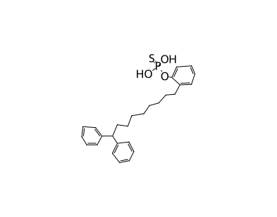 OP(O)(=S)Oc1ccccc1CCCCCCCCC(c1ccccc1)c1ccccc1